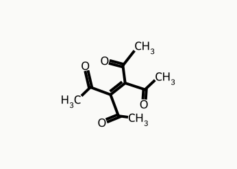 CC(=O)C(C(C)=O)=C(C(C)=O)C(C)=O